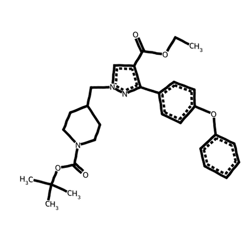 CCOC(=O)c1cn(CC2CCN(C(=O)OC(C)(C)C)CC2)nc1-c1ccc(Oc2ccccc2)cc1